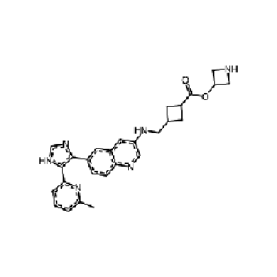 Cc1cccc(-c2[nH]cnc2-c2ccc3ncc(NCC4CC(C(=O)OC5CNC5)C4)cc3c2)n1